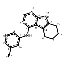 Brc1cncc(Nc2ncnc3[se]c4c(c23)CCCC4)c1